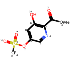 COC(=O)c1ncc(OS(=O)(=O)C(F)(F)F)cc1O